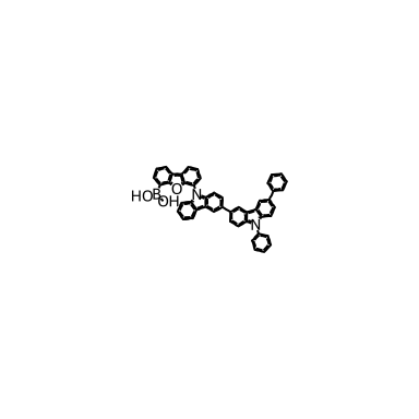 OB(O)c1cccc2c1oc1c(-n3c4ccccc4c4cc(-c5ccc6c(c5)c5cc(-c7ccccc7)ccc5n6-c5ccccc5)ccc43)cccc12